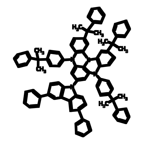 CC(C)(c1ccccc1)c1ccc(N2c3ccc(C(C)(C)c4ccccc4)cc3B3c4cc(C(C)(C)c5ccccc5)ccc4N(c4ccc(C(C)(C)c5ccccc5)cc4)c4cc(-n5c6ccc(-c7ccccc7)cc6c6cc(-c7ccccc7)ccc65)cc2c43)cc1